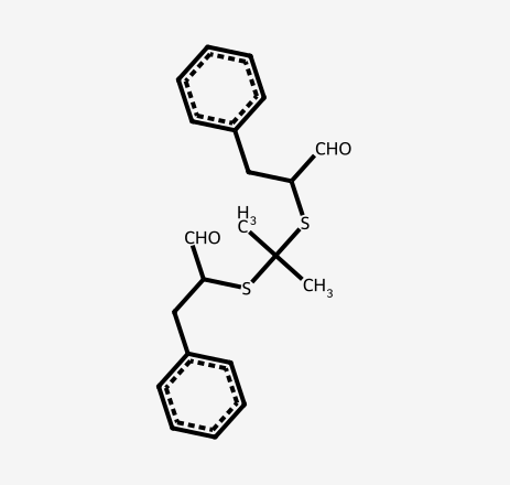 CC(C)(SC(C=O)Cc1ccccc1)SC(C=O)Cc1ccccc1